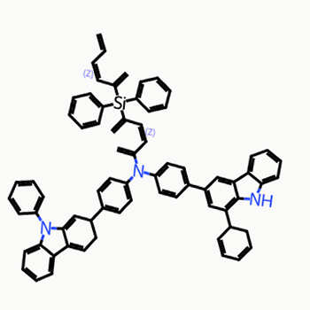 C=C/C=C\C(=C)[Si](C(=C)/C=C\C(=C)N(c1ccc(-c2cc(C3C=CC=CC3)c3[nH]c4ccccc4c3c2)cc1)c1ccc(C2C=c3c(c4ccccc4n3-c3ccccc3)=CC2)cc1)(c1ccccc1)c1ccccc1